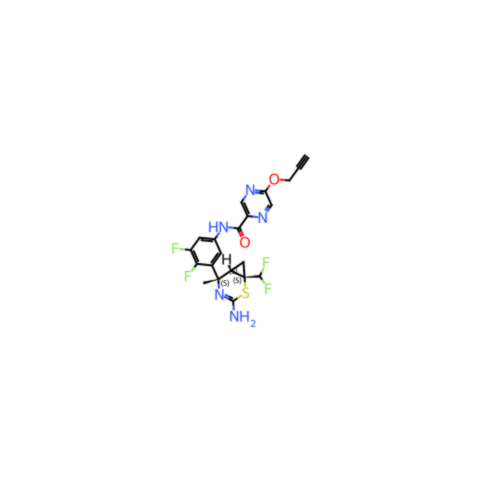 C#CCOc1cnc(C(=O)Nc2cc(F)c(F)c([C@@]3(C)N=C(N)S[C@@]4(C(F)F)C[C@@H]34)c2)cn1